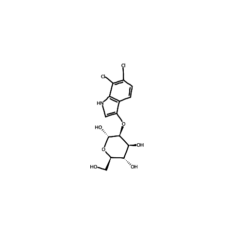 OC[C@H]1O[C@H](O)[C@@H](Oc2c[nH]c3c(Cl)c(Cl)ccc23)[C@@H](O)[C@@H]1O